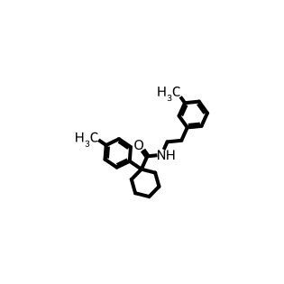 Cc1ccc(C2(C(=O)NCCc3cccc(C)c3)CCCCC2)cc1